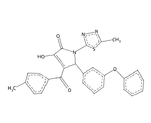 Cc1ccc(C(=O)C2=C(O)C(=O)N(c3nnc(C)s3)C2c2cccc(Oc3ccccc3)c2)cc1